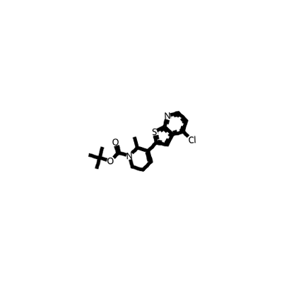 CC1C(c2cc3c(Cl)ccnc3s2)=CCCN1C(=O)OC(C)(C)C